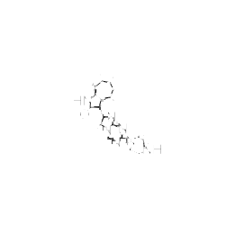 O=c1[nH]c2cccccc-2c1-c1cn2cnc(N3CCNCC3)nc2n1